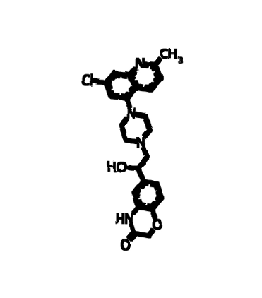 Cc1ccc2c(N3CCN(CC(O)c4ccc5c(c4)NC(=O)CO5)CC3)cc(Cl)cc2n1